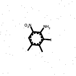 Cc1cc([N+](=O)[O-])c(N)c(I)c1C